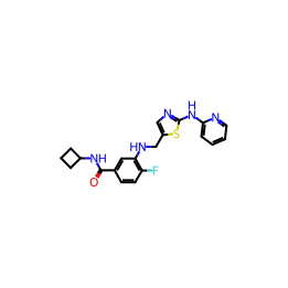 O=C(NC1CCC1)c1ccc(F)c(NCc2cnc(Nc3ccccn3)s2)c1